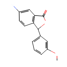 CCOc1cccc(C2OC(=O)c3cc(N)ccc32)c1